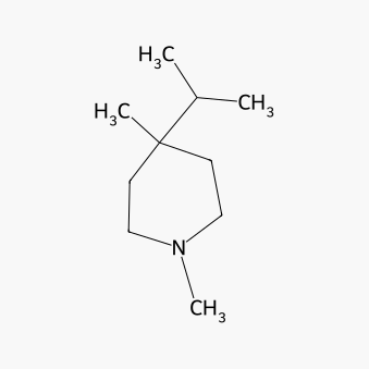 CC(C)C1(C)CCN(C)CC1